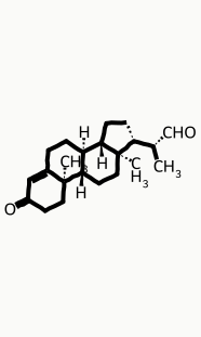 C[C@@H](C=O)[C@H]1CC[C@H]2[C@@H]3CCC4=CC(=O)CC[C@]4(C)[C@H]3CC[C@]12C